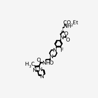 CCOC(=O)NC[C@H]1CN(c2ccc(N3CCN(C(=O)CNC(=O)c4c(C)nc5cnccn45)CC3)c(F)c2)C(=O)O1